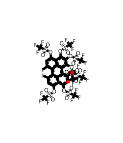 O=S(=O)(Oc1c(OS(=O)(=O)C(F)(F)F)c2c(OS(=O)(=O)C(F)(F)F)cc(I)c3c4c(I)cc(OS(=O)(=O)C(F)(F)F)c5c(OS(=O)(=O)C(F)(F)F)cc(OS(=O)(=O)C(F)(F)F)c(c(c1OS(=O)(=O)C(F)(F)F)c23)c54)C(F)(F)F